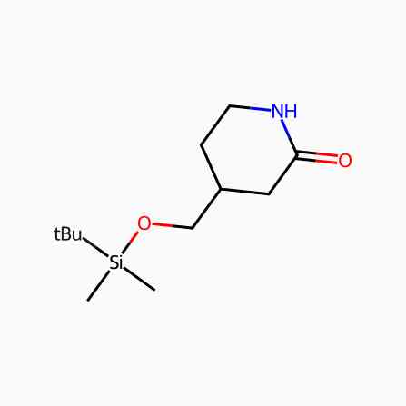 CC(C)(C)[Si](C)(C)OCC1CCNC(=O)C1